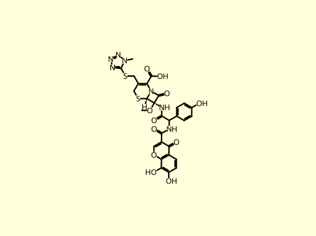 CO[C@@]1(NC(=O)C(NC(=O)c2coc3c(O)c(O)ccc3c2=O)c2ccc(O)cc2)C(=O)N2C(C(=O)O)=C(CSc3nnnn3C)CS[C@H]21